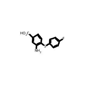 Nc1cc(C(=O)O)ccc1Sc1ccc(F)cc1